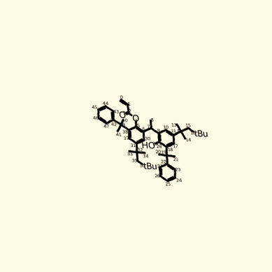 C=CC(=O)Oc1c(C(C)c2cc(C(C)(C)CC(C)(C)C)cc(C(C)(C)c3ccccc3)c2O)cc(C(C)(C)CC(C)(C)C)cc1C(C)(C)c1ccccc1